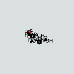 O=C(O)CNc1cccc(C(=O)Nc2c(Br)cc(C(F)(C(F)(F)F)C(F)(F)F)cc2OC(F)F)c1F